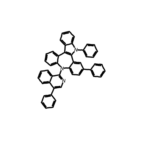 c1ccc(-c2ccc3c(c2)-c2c(c4ccccc4n2-c2ccccc2)-c2ccccc2N3c2ncc(-c3ccccc3)c3ccccc23)cc1